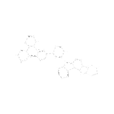 C1=Cc2sc3c(ccc4c3c3ccccc3n4-c3cccc(-c4ccc5c6ccccc6c6ccccc6c5c4)c3)c2CC1